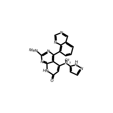 CNc1nc(-c2cccc3cncnc23)c2c(N(c3ccn[nH]3)C(F)(F)F)cc(=O)[nH]c2n1